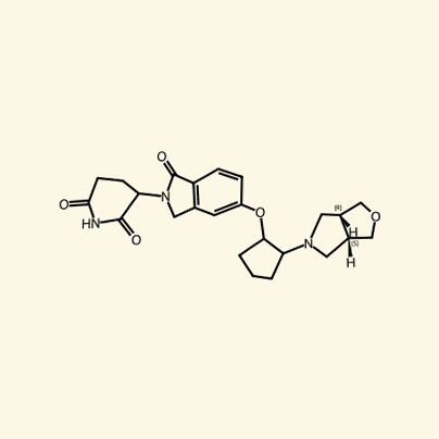 O=C1CCC(N2Cc3cc(OC4CCCC4N4C[C@H]5COC[C@H]5C4)ccc3C2=O)C(=O)N1